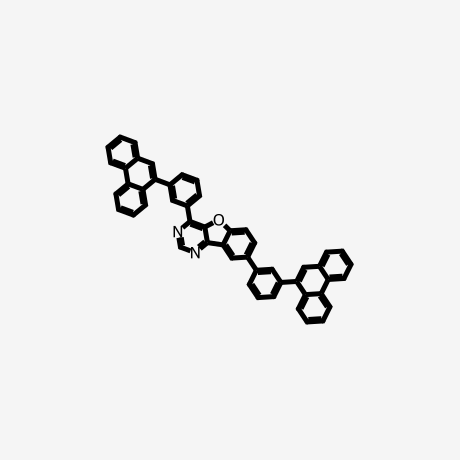 c1cc(-c2ccc3oc4c(-c5cccc(-c6cc7ccccc7c7ccccc67)c5)ncnc4c3c2)cc(-c2cc3ccccc3c3ccccc23)c1